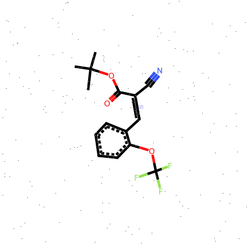 CC(C)(C)OC(=O)/C(C#N)=C\c1ccccc1OC(F)(F)F